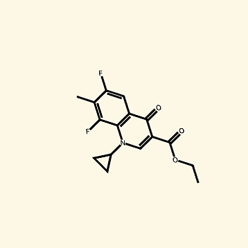 CCOC(=O)c1cn(C2CC2)c2c(F)c(C)c(F)cc2c1=O